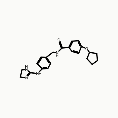 O=C(NCc1ccc(NC2=NCCN2)cc1)c1ccc(OC2CCCC2)cc1